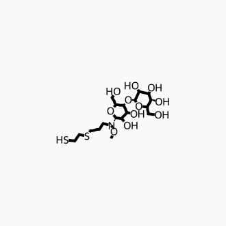 CON(CCCSCCS)[C@@H]1OC(CO)[C@@H](O[C@@H]2OC(CO)[C@H](O)C(O)C2O)C(O)C1O